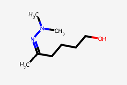 CC(CCCCO)=NN(C)C